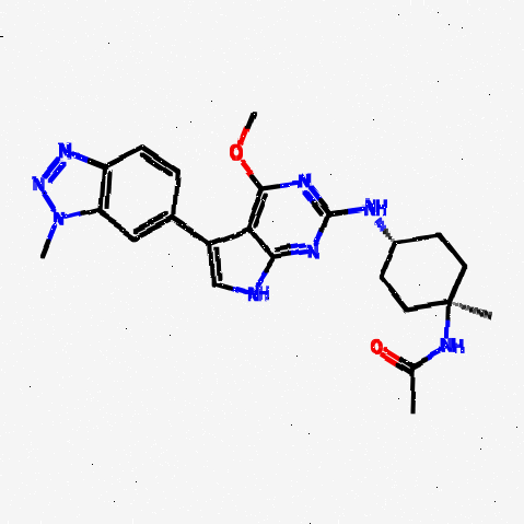 COc1nc(N[C@H]2CC[C@](C)(NC(C)=O)CC2)nc2[nH]cc(-c3ccc4nnn(C)c4c3)c12